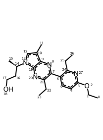 CCOc1ccc(-c2nc3c(C)cn([C@H](C)CCO)c3nc2CC)c(CC)n1